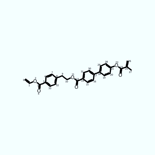 C=COC(=O)c1ccc(CCOC(=O)c2ccc(-c3ccc(OC(=O)C(=C)C)cc3)cc2)cc1